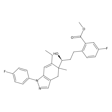 CCC1=Cc2c(cnn2-c2ccc(F)cc2)CC1(C)[C@@H](O)CCc1ccc(F)cc1C(=O)OC